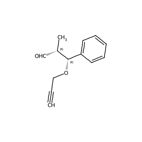 C#CCO[C@@H](c1ccccc1)[C@@H](C)C=O